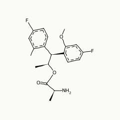 COc1cc(F)ccc1[C@H](c1ccc(F)cc1C)[C@H](C)OC(=O)[C@H](C)N